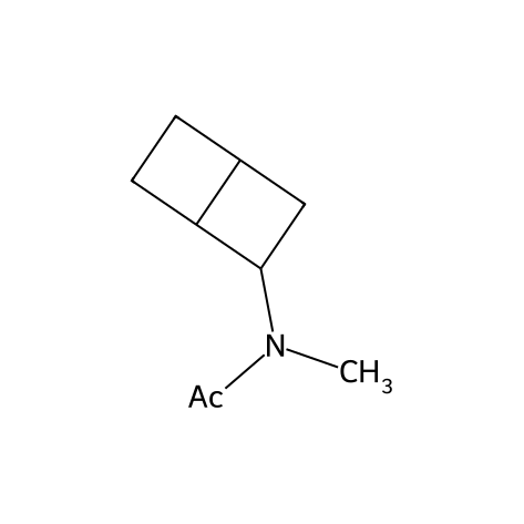 CC(=O)N(C)C1CC2CCC21